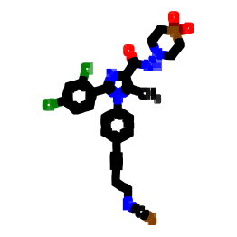 Cc1c(C(=O)NN2CCS(=O)(=O)CC2)nc(-c2ccc(Cl)cc2Cl)n1-c1ccc(C#CCCN=C=S)cc1